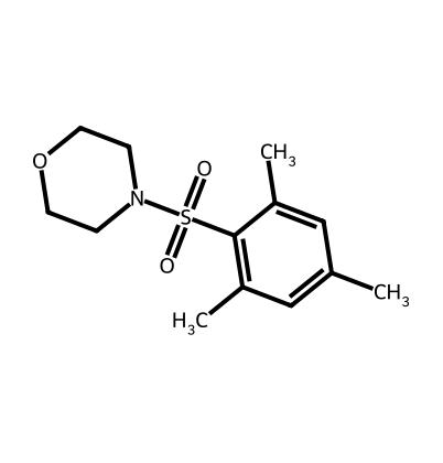 Cc1cc(C)c(S(=O)(=O)N2CCOCC2)c(C)c1